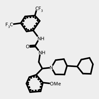 COc1ccccc1C(CNC(=O)Nc1cc(C(F)(F)F)cc(C(F)(F)F)c1)N1CCC(C2CCCCC2)CC1